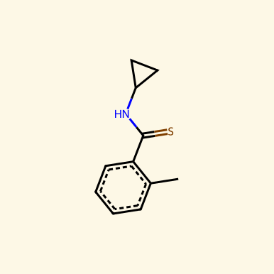 Cc1ccccc1C(=S)NC1CC1